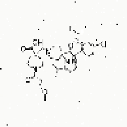 COCCC(=O)N1CCC(CN2CCC(C(=O)Nc3ccc(Cl)cc3OC(F)F)(n3nccc3C(C)C)CC2)(C(=O)O)CC1